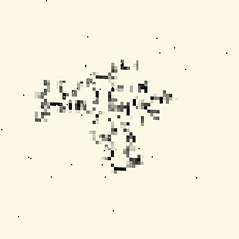 CCCC(CCC)S(=O)(=O)CC(N)C(=O)N(C(=O)c1cccc(Cl)c1)[C@@H](Cc1cc(F)cc(F)c1)[C@H](O)CNCc1cccc(CC)c1.Cl